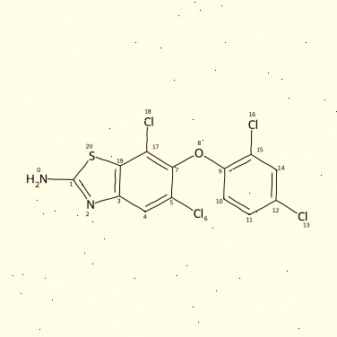 Nc1nc2cc(Cl)c(Oc3ccc(Cl)cc3Cl)c(Cl)c2s1